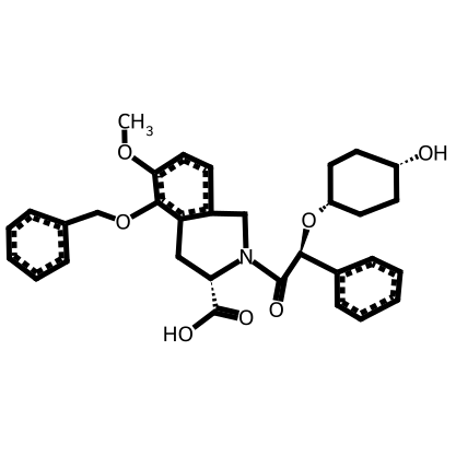 COc1ccc2c(c1OCc1ccccc1)C[C@@H](C(=O)O)N(C(=O)[C@@H](O[C@H]1CC[C@@H](O)CC1)c1ccccc1)C2